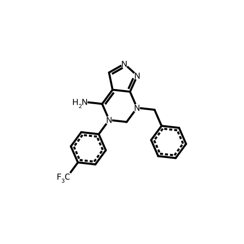 NC1=C2C=NN=C2N(Cc2ccccc2)CN1c1ccc(C(F)(F)F)cc1